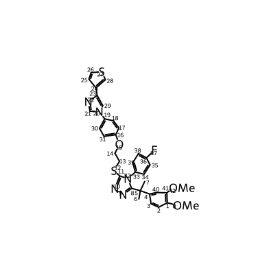 COc1ccc(C(C)(C)c2nnc(SCCOc3ccc(-n4cnc(-c5ccsc5)c4)cc3)n2-c2ccc(F)cc2)cc1OC